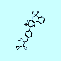 CON(Cc1ccc(C2=NC(c3ccccc3C(F)(F)F)=CON2)cc1)C(=O)C1CC1